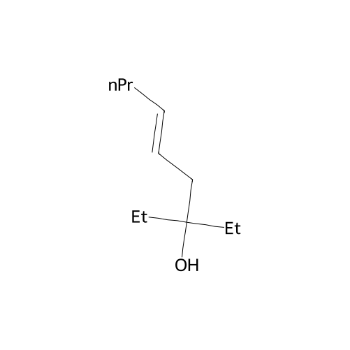 C[CH]CC=CCC(O)(CC)CC